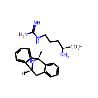 C[C@]12N[C@H](Cc3ccccc31)c1ccccc12.N=C(N)NCCC[C@H](N)C(=O)O